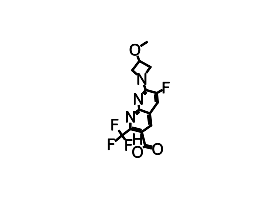 COC1CN(c2nc3nc(C(F)(F)F)c(C(=O)O)cc3cc2F)C1